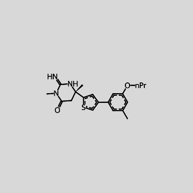 CCCOc1cc(C)cc(-c2csc([C@]3(C)CC(=O)N(C)C(=N)N3)c2)c1